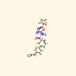 O=Cc1ccc(-c2cccc(C(=O)Nc3nnc(-c4ccco4)o3)c2)cc1